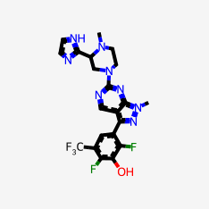 CN1CCN(c2ncc3c(-c4cc(C(F)(F)F)c(F)c(O)c4F)nn(C)c3n2)CC1c1ncc[nH]1